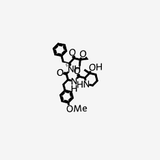 COc1ccc(CC(NC(=O)C2NCCCC2(C)O)C(=O)N[C@@H](Cc2ccccc2)C(=O)C2(C)CO2)cc1